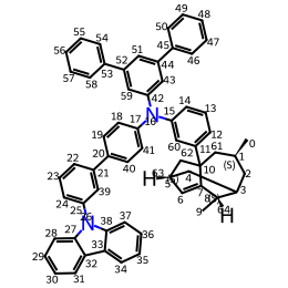 C[C@H]1CC2C[C@@H]3C=C([C@H]2C)C(c2cccc(N(c4ccc(-c5cccc(-n6c7ccccc7c7ccccc76)c5)cc4)c4cc(-c5ccccc5)cc(-c5ccccc5)c4)c2)(C1)C3